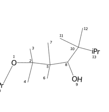 CC(C)OC(C)(C)C(C)(C)C(O)C(C)(C)C(C)C